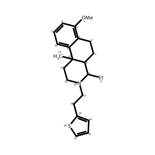 CCC1C2CCc3c(OC)cccc3C2(C)CCN1CCc1cccs1